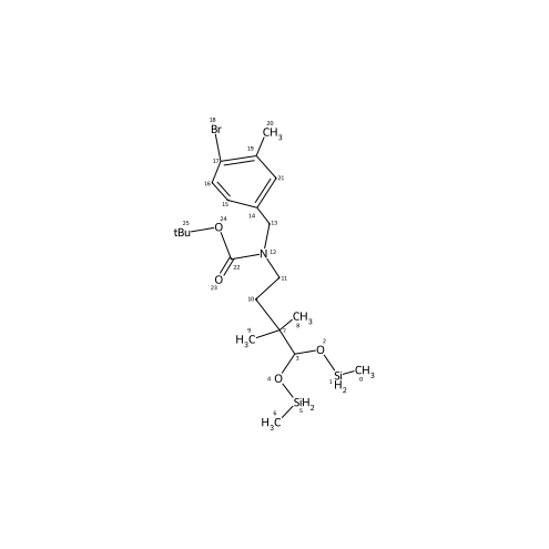 C[SiH2]OC(O[SiH2]C)C(C)(C)CCN(Cc1ccc(Br)c(C)c1)C(=O)OC(C)(C)C